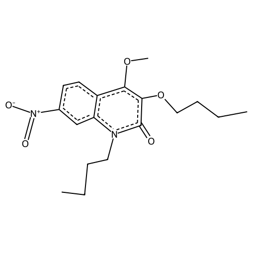 CCCCOc1c(OC)c2ccc([N+](=O)[O-])cc2n(CCCC)c1=O